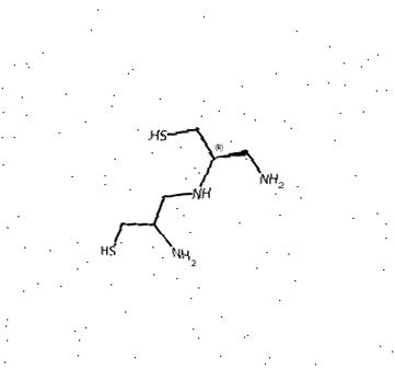 NC[C@H](CS)NCC(N)CS